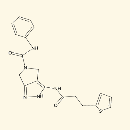 O=C(CCc1cccs1)Nc1[nH]nc2c1CN(C(=O)Nc1ccccc1)C2